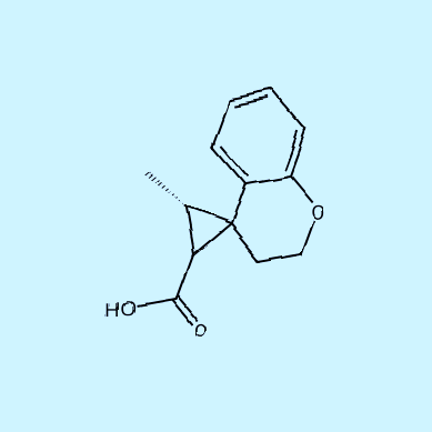 C[C@H]1C(C(=O)O)C12CCOc1ccccc12